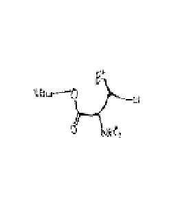 CCC(CC)C(N)C(=O)OC(C)(C)C